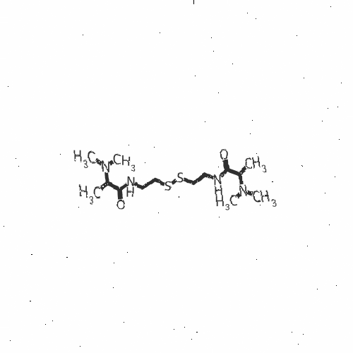 CC(C(=O)NCCSSCCNC(=O)C(C)N(C)C)N(C)C